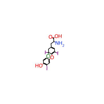 NC(CC1=CC(I)=C(Oc2ccc(O)c(I)c2)C(Cl)(I)C1)C(=O)O